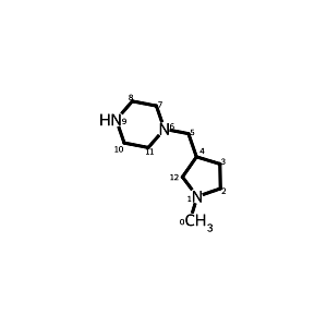 CN1CCC(CN2CCNCC2)C1